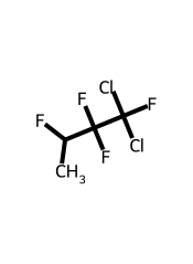 CC(F)C(F)(F)C(F)(Cl)Cl